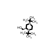 CC(C)(C)N1CCN(C(C)(C)C)[C@@H](CO)C1